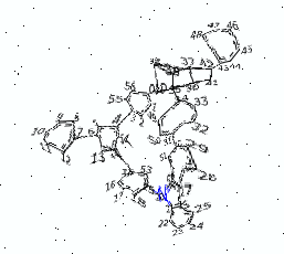 c1ccc(-c2cc(-c3ccccc3)cc(-c3cccc(-n4c5ccccc5c5ccc(-c6ccc(C78C9C%10C7C7C8C9C%107c7ccccc7)cc6)cc54)c3)c2)cc1